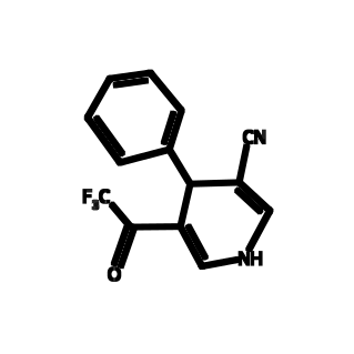 N#CC1=CNC=C(C(=O)C(F)(F)F)C1c1ccccc1